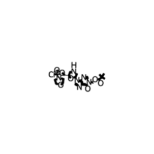 CC(C)(C)C(=O)OCn1cnc2c(ncn2[C@H]2CNC[C@@H](COP(=O)(Cl)N3CCOCC3)O2)c1=O